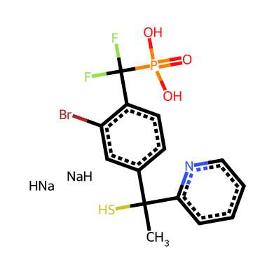 CC(S)(c1ccc(C(F)(F)P(=O)(O)O)c(Br)c1)c1ccccn1.[NaH].[NaH]